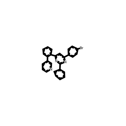 Brc1ccc(-c2cc(-c3ccccc3-c3cccnc3)nc(-c3ccccc3)n2)cc1